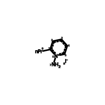 CCCc1cccc[n+]1N.[I-]